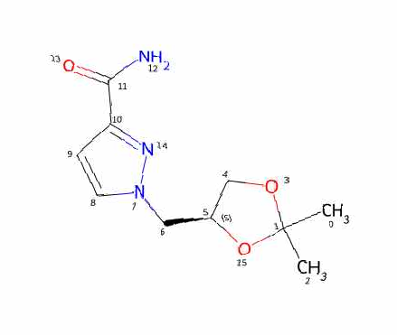 CC1(C)OC[C@H](Cn2ccc(C(N)=O)n2)O1